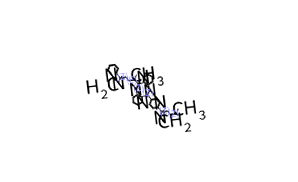 C=N\C(=C/C=C(C)/C1=N/c2cccnc2/C(c2ccc(/C(=C/C=C\C)N=C)nc2)=N\c2cccnc21)c1ccccn1